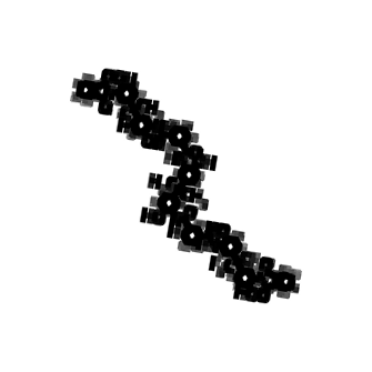 CC(C)(c1ccc(O)c(NC(=O)c2cccc(C(=O)Nc3cc(C(C)(C)c4ccc(O)c(N5C(=O)C6C7C=CC(C7)C6C5=O)c4)ccc3O)c2)c1)c1ccc(O)c(NC(=O)c2cccc(C(=O)Nc3cc(C(c4ccc(O)c(N5C(=O)C6C7C=CC(C7)C6C5=O)c4)(C(F)(F)F)C(F)(F)F)ccc3O)c2)c1